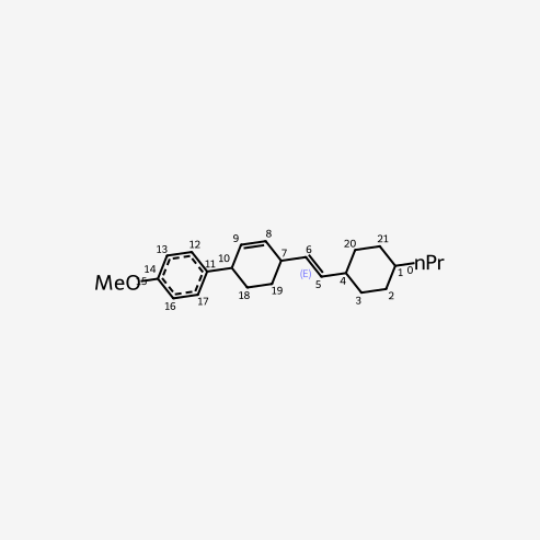 CCCC1CCC(/C=C/C2C=CC(c3ccc(OC)cc3)CC2)CC1